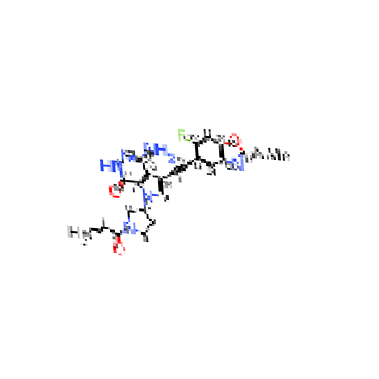 C=CC(=O)N1CC[C@H](n2cc(C#Cc3cc4nc(NC)oc4cc3F)c3c(N)n[nH]c(=O)c32)C1